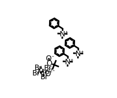 CC(C)(C)O[O-].C[N+](C)(C)Cc1ccccc1.C[N+](C)(C)Cc1ccccc1.C[N+](C)(C)Cc1ccccc1.[O]=[Mo-2]([Br])([Br])([Br])[Br]